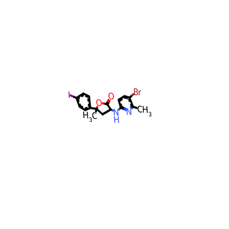 Cc1nc(NC2CC(C)(c3ccc(I)cc3)OC2=O)ccc1Br